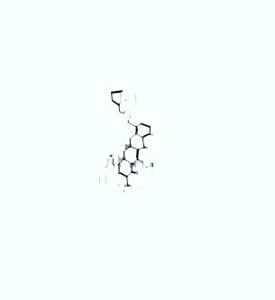 CN(C)[C@@H]1C(O)=C(C(N)=O)C(=O)[C@@]2(O)C(O)=C3C(=O)c4c(O)ccc(CNCc5ccc[nH]5)c4C[C@H]3C[C@@H]12